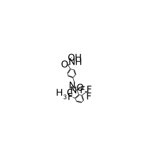 CN(N=Cc1ccc(C(=O)NO)cc1)C(=O)c1c(F)cccc1C(F)(F)F